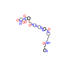 O=C(/C=C/c1cccnc1)NCCCCC1CCN(C(=O)c2ccc(N3CCC(N4CCN(C(=O)CSc5cccc6c5C(=O)N(C5CCC(=O)NC5=O)C6=O)CC4)CC3)nc2)CC1